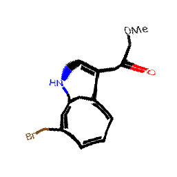 COC(=O)c1c[nH]c2c(Br)cccc12